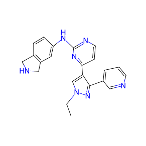 CCn1cc(-c2ccnc(Nc3ccc4c(c3)CNC4)n2)c(-c2cccnc2)n1